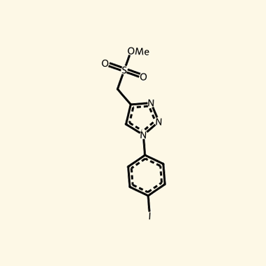 COS(=O)(=O)Cc1cn(-c2ccc(I)cc2)nn1